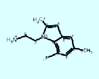 Cc1cc(F)c2c(c1)cc(C)n2CCN